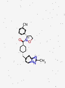 Cc1nc2cc(C[C@H]3CC[C@H](C(=O)N4OCC[C@H]4c4cccc(C#N)c4)CC3)ccn2n1